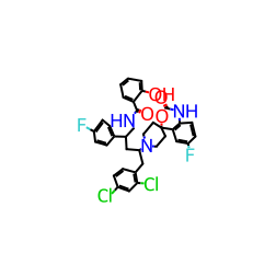 O=C1Nc2ccc(F)cc2C2(CCN(C(Cc3ccc(Cl)cc3Cl)CC(CNC(=O)c3ccccc3O)c3ccc(F)cc3)CC2)O1